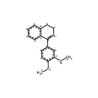 COc1ccc(C2=NCCc3ccccc32)cc1OC